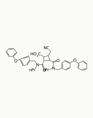 CCCN(Cc1ccc(Oc2ccccc2)cc1)C(=O)C1C(CC#N)C(C(=O)O)C1C(=O)N(CCC)Cc1ccc(Oc2ccccc2)cc1